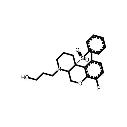 O=S(=O)(c1ccccc1)[C@@]12CCCN(CCCO)C1COc1c(F)ccc(F)c12